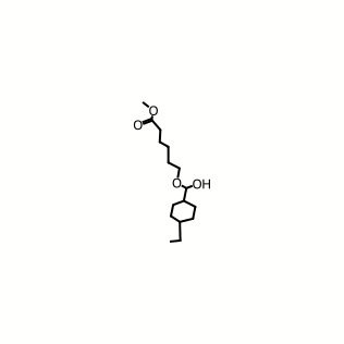 CCC1CCC(C(O)OCCCCCC(=O)OC)CC1